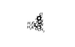 CCc1nc2nc3cc(Cl)ccc3nc2n1C(=O)C(C)CC